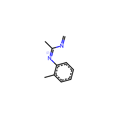 C=N/C(C)=N\c1ccccc1C